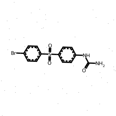 NC(=O)Nc1ccc(S(=O)(=O)c2ccc(Br)cc2)cc1